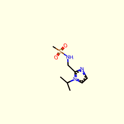 CC(C)n1ccnc1CNS(C)(=O)=O